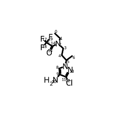 CCN(CCC(C)n1cc(N)c(Cl)n1)C(=O)C(F)(F)F